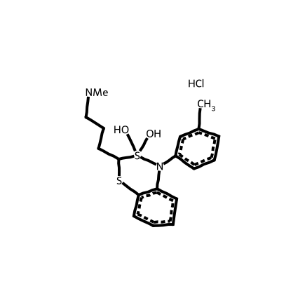 CNCCCC1Sc2ccccc2N(c2cccc(C)c2)S1(O)O.Cl